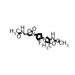 COC(=O)N[C@@H]1CN(c2ccc(N3C[C@H](CNC(C)=O)OC3=O)cc2F)C[C@@H]1C